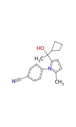 Cc1ccc(C(C)(O)C2CCC2)n1-c1ccc(C#N)cc1